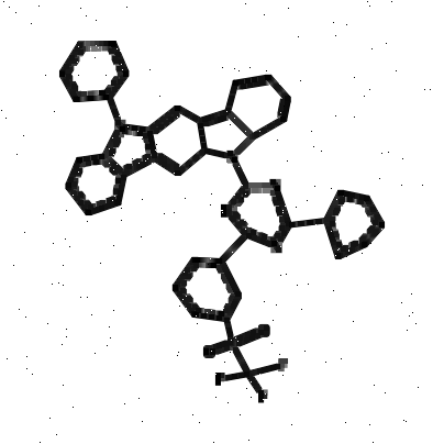 O=S(=O)(c1cccc(-c2nc(-c3ccccc3)nc(N3C4C=CC=CC4=C4C=c5c(c6ccccc6n5-c5ccccc5)=CC43)n2)c1)C(F)(F)F